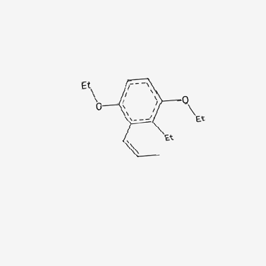 C/C=C\c1c(OCC)ccc(OCC)c1CC